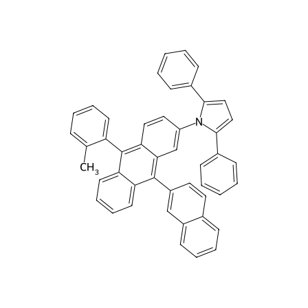 Cc1ccccc1-c1c2ccccc2c(-c2ccc3ccccc3c2)c2cc(-n3c(-c4ccccc4)ccc3-c3ccccc3)ccc12